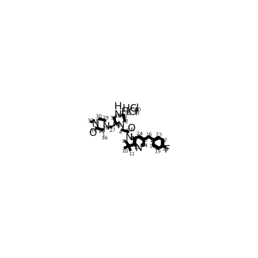 C[C@@H]1CN(CC(=O)N2CC(C)(C)c3ncc(Cc4ccc(F)cc4)cc32)[C@@H](CN2CCN(C)C(=O)[C@H]2C)CN1.Cl.Cl